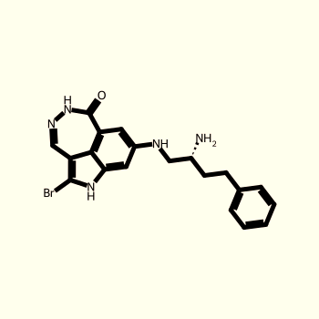 N[C@H](CCc1ccccc1)CNc1cc2c3c(c(Br)[nH]c3c1)C=NNC2=O